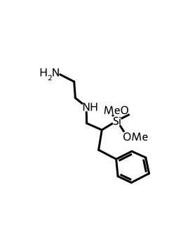 CO[Si](C)(OC)C(CNCCN)Cc1ccccc1